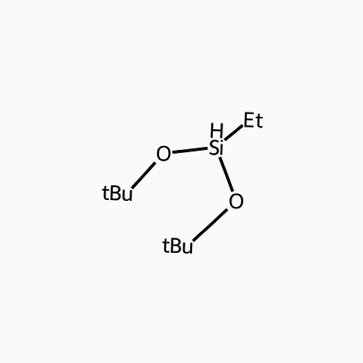 CC[SiH](OC(C)(C)C)OC(C)(C)C